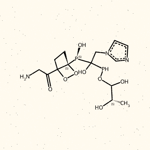 C[C@H](O)C(O)OPC(O)(Cn1ccnc1)[P@](O)[C@@]12CCC1(C(=O)CN)OO2